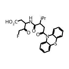 CC(C)C(CC(=O)N1c2ccccc2Sc2ccccc21)C(=O)NC(CC(=O)O)C(=O)CF